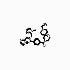 CC(C)CN1CCC2(CC1)CN(C(=O)c1ccc(CN(Cc3ncc[nH]3)Cc3nccn3C)cc1)CCO2